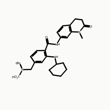 CN1C(=O)CCc2ccc(NC(=O)c3ccc(CN(C(=O)O)C(C)(C)C)cc3NC3CCCCC3)cc21